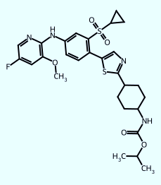 COc1cc(F)cnc1Nc1ccc(-c2cnc(C3CCC(NC(=O)OC(C)C)CC3)s2)c(S(=O)(=O)C2CC2)c1